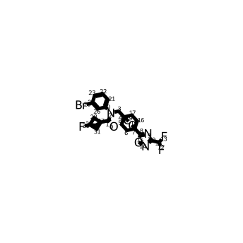 O=C(N(CC12CCC(c3nc(C(F)F)no3)(CC1)CC2)c1cccc(Br)c1)C12CC(F)(C1)C2